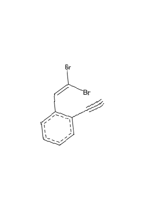 C#Cc1ccccc1C=C(Br)Br